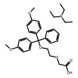 CCN(CC)CC.COc1ccc(C(OCCOCC(=O)O)(c2ccccc2)c2ccc(OC)cc2)cc1